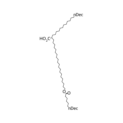 CCCCCCCCCCCCCCCCCCCCCCC(CCCCCCCCCCCCCCCCCCCCCOC(=O)CCCCCCCCCCCCCCC)C(=O)O